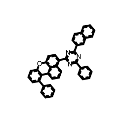 c1ccc(-c2nc(-c3ccc4ccccc4c3)nc(-c3ccc4c5c(cccc35)-c3c(cccc3-c3ccccc3)O4)n2)cc1